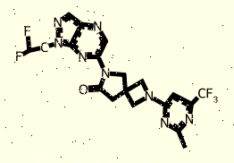 Cc1nc(N2CC3(CC(=O)N(c4cnc5cnn(CC(F)F)c5n4)C3)C2)cc(C(F)(F)F)n1